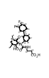 Cc1cn(C)c(=O)c(N(C(=O)NCCC(=O)O)c2cccc(-c3ccc(F)c(F)c3)c2)c1O